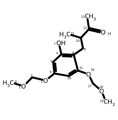 COCOc1cc(O)c(CC(C)C(C)=O)c(OCOC)c1